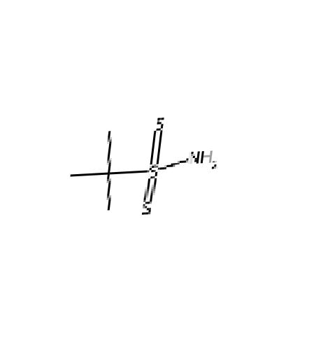 CC(C)(C)S(N)(=S)=S